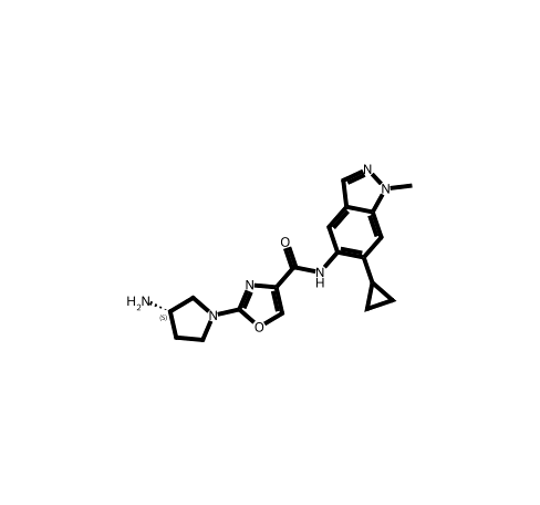 Cn1ncc2cc(NC(=O)c3coc(N4CC[C@H](N)C4)n3)c(C3CC3)cc21